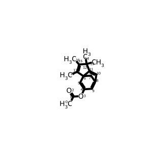 CC(=O)OC1=CC23CC(=C1)C=C2C(C)(C)C(C)=C3C